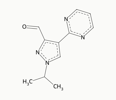 CC(C)n1cc(-c2ncccn2)c(C=O)n1